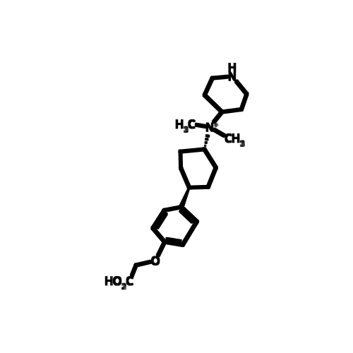 C[N+](C)(C1CCNCC1)[C@H]1CC[C@H](c2ccc(OCC(=O)O)cc2)CC1